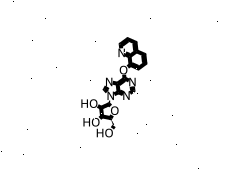 OC[C@H]1O[C@@H](n2cnc3c(Oc4cccc5cccnc45)ncnc32)C(O)C1O